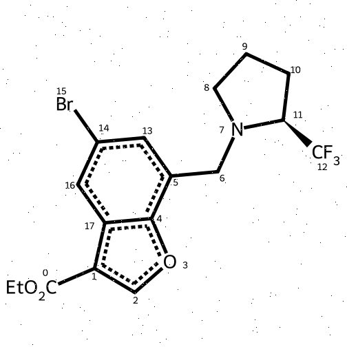 CCOC(=O)c1coc2c(CN3CCC[C@H]3C(F)(F)F)cc(Br)cc12